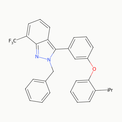 CC(C)c1ccccc1Oc1cccc(-c2c3cccc(C(F)(F)F)c3nn2Cc2ccccc2)c1